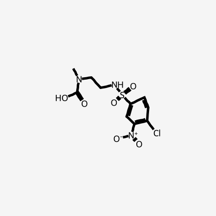 CN(CCNS(=O)(=O)c1ccc(Cl)c([N+](=O)[O-])c1)C(=O)O